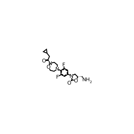 NC[C@H]1CN(c2cc(F)c(N3CCON(C(=O)CC4CC4)CC3)c(F)c2)C(=O)O1